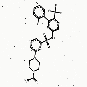 Cc1ccccc1-c1nc(NS(=O)(=O)c2cccc(N3CCN(C(N)=O)CC3)n2)ccc1C(F)(F)F